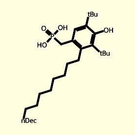 CCCCCCCCCCCCCCCCCCc1c(CP(=O)(O)O)cc(C(C)(C)C)c(O)c1C(C)(C)C